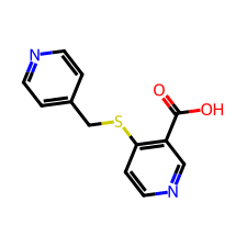 O=C(O)c1cnccc1SCc1ccncc1